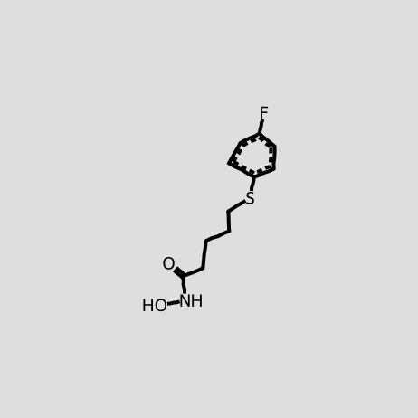 O=C(CCCCSc1ccc(F)cc1)NO